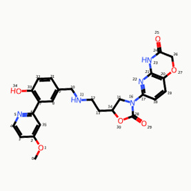 COc1ccnc(-c2cc(CNCCC3CN(c4ccc5c(n4)NC(=O)CO5)C(=O)O3)ccc2O)c1